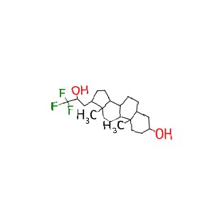 CC12CCC(O)CC1CCC1C2CCC2(C)C(CC(O)C(F)(F)F)CCC12